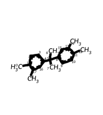 Cc1ccc(C(C)(C)c2ccc(C)c(C)c2)cc1C